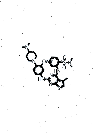 COc1cc(Nc2nc(Nc3ccccc3S(=O)(=O)N(C)C)c3c(C)csc3n2)ccc1N1CCC(N(C)C)CC1